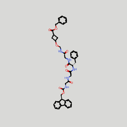 O=C(CNC(=O)OCC1c2ccccc2-c2ccccc21)NCC(=O)N[C@@H](Cc1ccccc1)C(=O)NCC(=O)NCOC1CC(C(=O)OCc2ccccc2)C1